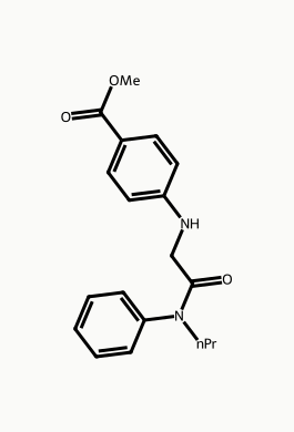 CCCN(C(=O)CNc1ccc(C(=O)OC)cc1)c1ccccc1